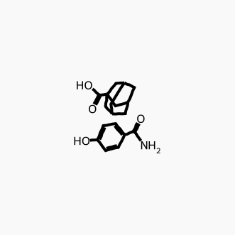 NC(=O)c1ccc(O)cc1.O=C(O)C12CC3CC(CC(C3)C1)C2